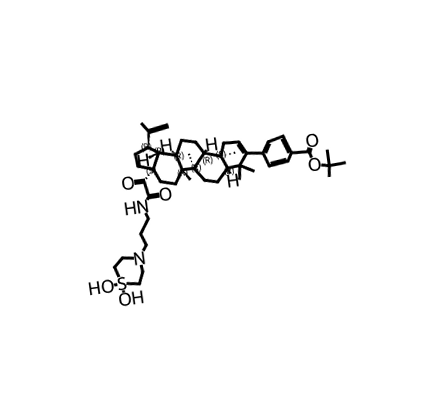 C=C(C)[C@@H]1CC[C@]2(C(=O)C(=O)NCCCN3CCS(O)(O)CC3)CC[C@]3(C)[C@H](CC[C@@H]4[C@@]5(C)CC=C(c6ccc(C(=O)OC(C)(C)C)cc6)C(C)(C)[C@@H]5CC[C@]43C)[C@@H]12